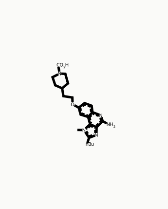 CCCCc1nc2c(N)nc3ccc(OCCC4CCN(C(=O)O)CC4)cc3c2n1C